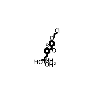 NC(CO)(CO)CCc1ccc2sc3cc(OCCCCl)ccc3c(=O)c2c1